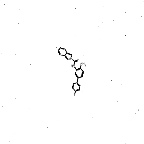 Nc1ccc(-c2ccc(F)cc2)cc1NC(=O)n1cc2ccccc2c1